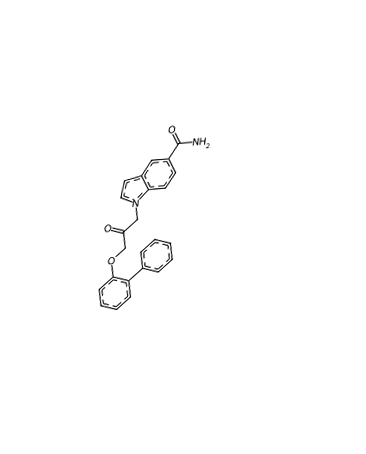 NC(=O)c1ccc2c(ccn2CC(=O)COc2ccccc2-c2ccccc2)c1